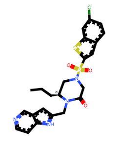 CCC[C@H]1CN(S(=O)(=O)c2cc3ccc(Cl)cc3s2)CC(=O)N1Cc1cc2cnccc2[nH]1